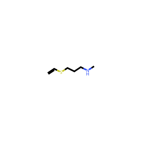 C=CSCCCNC